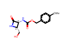 COc1ccc(COC(=O)N[C@H]2C(=O)N[C@H]2CO)cc1